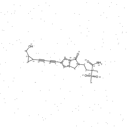 CC(CCN1Cc2cc(C#CC#CC3CC3CO)cn2C1=O)(C(N)=O)S(C)(=O)=O